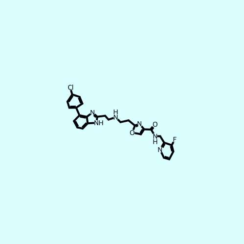 O=C(NCc1ncccc1F)c1coc(CCNCCc2nc3c(-c4ccc(Cl)cc4)cccc3[nH]2)n1